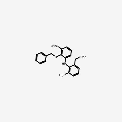 CNCc1cccc(C)c1Pc1cccc(OC)c1OCc1ccccc1